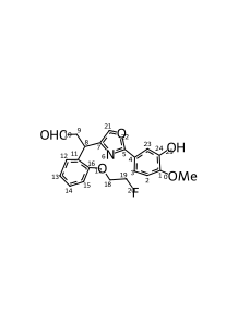 COc1ccc(-c2nc(C(CC=O)c3ccccc3OCCF)co2)cc1O